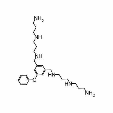 NCCCNCCCNCc1cc(CNCCCNCCCN)cc(Oc2ccccc2)c1